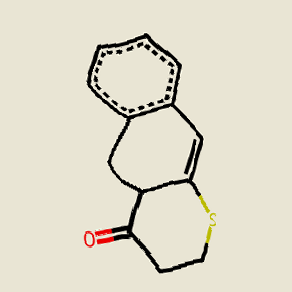 O=C1CCSC2=Cc3ccccc3CC12